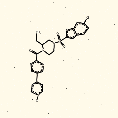 CCC1CN(S(=O)(=O)c2cc3ccc(Cl)cc3s2)CCN1C(=O)c1ncc(-c2cc[n+]([O-])cc2)cn1